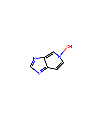 On1ccc2ncnc-2c1